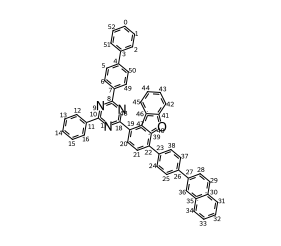 c1ccc(-c2ccc(-c3nc(-c4ccccc4)nc(-c4ccc(-c5ccc(-c6ccc7ccccc7c6)cc5)c5oc6ccccc6c45)n3)cc2)cc1